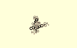 COc1cccc2[nH]c(C(=O)NC(CC3CCCCC3)C(=O)NC(CC3CC4(CCN(C(C)=O)CC4)NC3=O)C(=O)C(N)=O)cc12